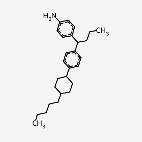 CCCCCC1CCC(c2ccc(C(CCC)c3ccc(N)cc3)cc2)CC1